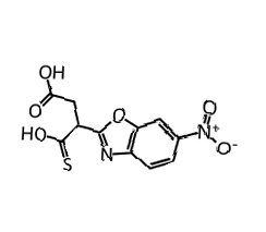 O=C(O)CC(C(O)=S)c1nc2ccc([N+](=O)[O-])cc2o1